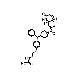 O=C(O)NCCCc1ccc([C@@H](c2ccccc2)C2CCN(C(=O)N3CC[C@@H]4OCC(=O)N[C@@H]4C3)CC2)cc1